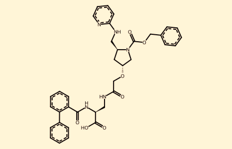 O=C(CO[C@@H]1C[C@@H](CNc2ccccn2)N(C(=O)OCc2ccccc2)C1)NC[C@H](NC(=O)c1ccccc1-c1ccccc1)C(=O)O